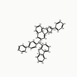 c1ccc(-c2ccc(N(c3cc4c5c(cccc5c3)-c3nc(-c5ccccc5)sc3-4)c3cccc4c3sc3ccccc34)cc2)cc1